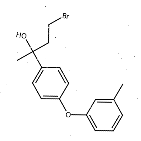 Cc1cccc(Oc2ccc(C(C)(O)CCBr)cc2)c1